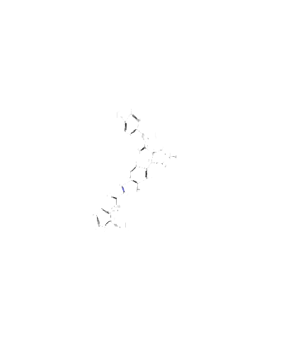 CN1CC(C(=O)Nc2ccc(F)cc2)C(c2ccc(/C=C/C(=O)Nc3ccccc3N)c(F)c2)C1